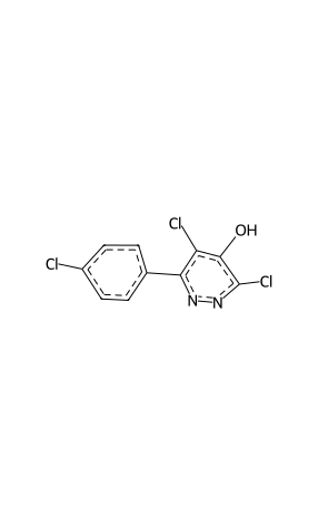 Oc1c(Cl)nnc(-c2ccc(Cl)cc2)c1Cl